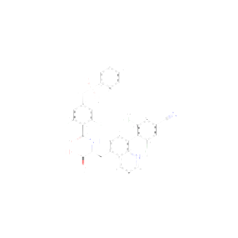 N#Cc1cc(Cl)c(-c2ccc(C[C@H](NC(=O)c3c(F)cc(CS(=O)(=O)c4ccccc4)cc3F)C(=O)O)c3cccnc23)c(Cl)c1